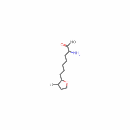 CCC1CCOC1CCCCCC(N)C(=O)N=O